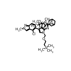 Cn1cc2c(Cl)c(-c3cn(COCC[Si](C)(C)C)c4nc(N5C6CC5CN(C(=O)OC(C)(C)C)C6)n(C)c(=O)c34)ccc2n1